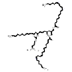 CCCCC/C=C\C/C=C\CCCCCCCC(=O)OCC(COC(=O)CCCCCCC/C=C\C/C=C\CCCCC)OC(=O)CCCC(CCCCCCCCCCCC)OC(=O)OCCCN(C)C